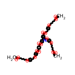 C=CC(=O)OCCCCCCOc1ccc(CCOC(=O)c2ccc3c(c2)c(Oc2ccc(OCCCCCCOC(=O)C=C)cc2)nc2cc(OC(=O)C4CCC(C(=O)Oc5ccc(OCCc6ccc(OCCCCCCOC(=O)C=C)cc6)cc5)CC4)ccc23)cc1